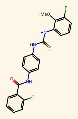 COc1c(F)cccc1NC(=S)Nc1ccc(NC(=O)c2ccccc2F)cc1